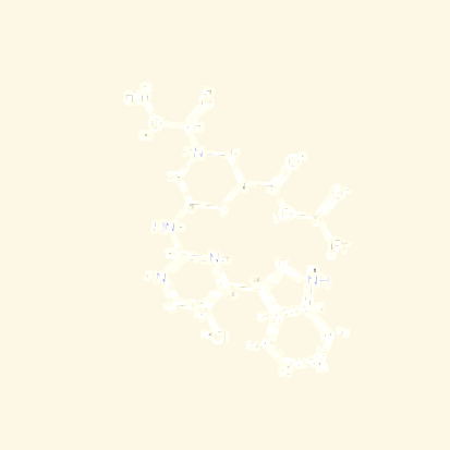 CC(C)C(=O)OC(=O)C1CC(Nc2ncc(Cl)c(-c3c[nH]c4ccccc34)n2)CN(C(=O)OC(C)(C)C)C1